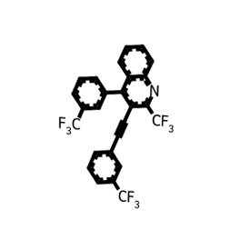 FC(F)(F)c1cccc(C#Cc2c(C(F)(F)F)nc3ccccc3c2-c2cccc(C(F)(F)F)c2)c1